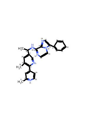 Cc1cc(-c2ncc(C(C)Nc3nccn4c(-c5ccccc5)cnc34)cc2C)ccn1